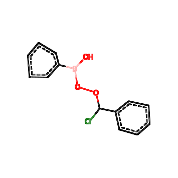 OB(OOC(Cl)c1ccccc1)c1ccccc1